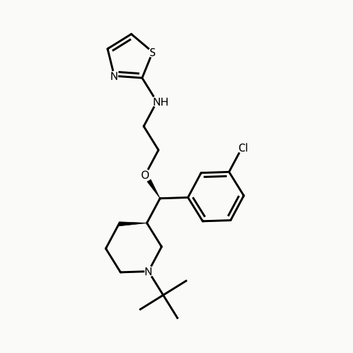 CC(C)(C)N1CCC[C@@H]([C@@H](OCCNc2nccs2)c2cccc(Cl)c2)C1